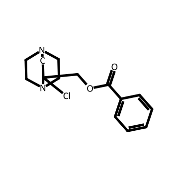 O=C(OCC1(Cl)CN2CCN1CC2)c1ccccc1